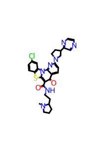 CN1CCCC1CCNC(=O)c1c(=O)c2ccc(N3CCC(c4cnccn4)C3)nc2n2c1sc1ccc(Cl)cc12